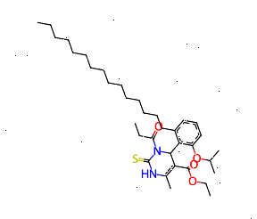 CCCCCCCCCCCCCCCc1cccc(OC(C)C)c1C1C(C(=O)OCC)=C(C)NC(=S)N1C(=O)CC